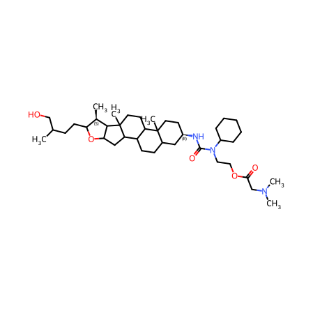 CC(CO)CCC1OC2CC3C4CCC5C[C@H](NC(=O)N(CCOC(=O)CN(C)C)C6CCCCC6)CCC5(C)C4CCC3(C)C2[C@@H]1C